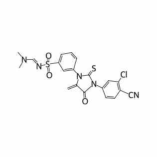 C=C1C(=O)N(c2ccc(C#N)c(Cl)c2)C(=S)N1c1cccc(S(=O)(=O)/N=C/N(C)C)c1